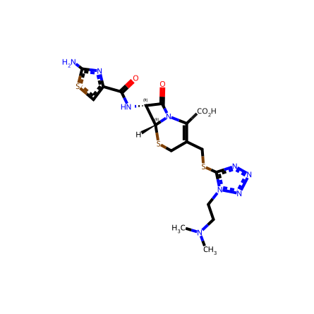 CN(C)CCn1nnnc1SCC1=C(C(=O)O)N2C(=O)[C@@H](NC(=O)c3csc(N)n3)[C@H]2SC1